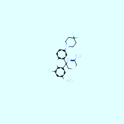 COc1cc(F)c2c(c1)C1(COCC(N)=N1)c1cc(N3CCC(F)(F)CC3)ccc1O2